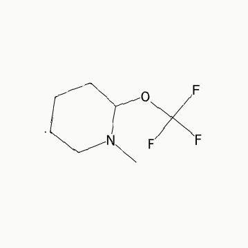 CN1C[CH]CCC1OC(F)(F)F